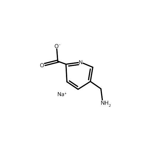 NCc1ccc(C(=O)[O-])nc1.[Na+]